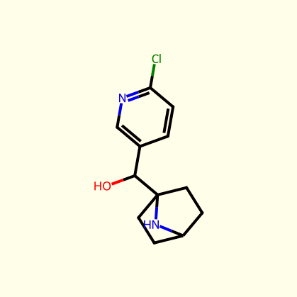 OC(c1ccc(Cl)nc1)C12CCC(CC1)N2